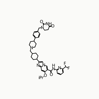 CC(C)Oc1cc2nc(C3CCC(CN4CCC(c5ccc(CN6CCC(=O)NC6=O)cc5)CC4)CC3)cn2cc1C(=O)Nc1cccc(C(F)F)n1